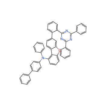 c1ccc(-c2ccc(N(c3ccccc3)c3cccc4oc5cc(-c6ccccc6-c6nc(-c7ccccc7)nc(-c7ccccc7)n6)ccc5c34)cc2)cc1